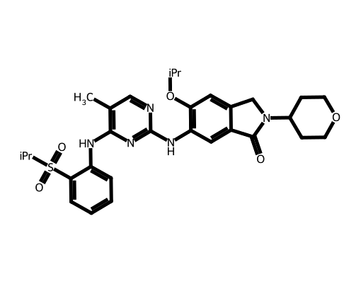 Cc1cnc(Nc2cc3c(cc2OC(C)C)CN(C2CCOCC2)C3=O)nc1Nc1ccccc1S(=O)(=O)C(C)C